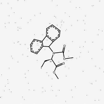 COC(=O)[C@@H](CI)N(C(=O)OC)C1c2ccccc2-c2ccccc21